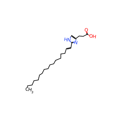 CCCCCCCCCCCCCCCC=Cc1nc(CCC(=O)O)c[nH]1